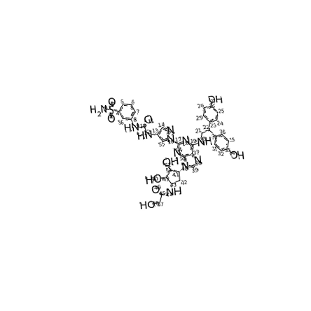 NS(=O)(=O)c1cccc(NC(=O)Nc2cnn(-c3nc(NCC(c4ccc(O)cc4)c4ccc(O)cc4)c4ncn([C@@H]5C[C@H](NC(=O)CO)[C@@H](O)[C@H]5O)c4n3)c2)c1